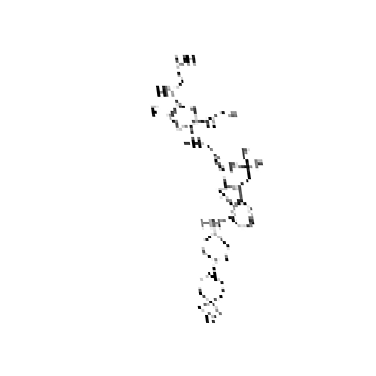 OCCNc1cc(OCF)c(NCC#Cc2sc3c(NC4CCC(N5CCC6(CC5)COC6)CC4)cccc3c2CC(F)(F)F)cc1F